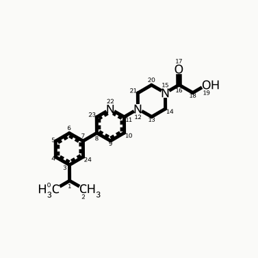 CC(C)c1cccc(-c2ccc(N3CCN(C(=O)CO)CC3)nc2)c1